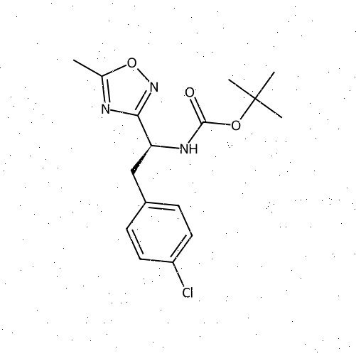 Cc1nc([C@H](Cc2ccc(Cl)cc2)NC(=O)OC(C)(C)C)no1